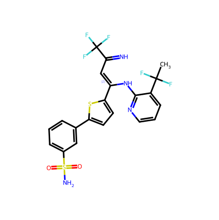 CC(F)(F)c1cccnc1N/C(=C\C(=N)C(F)(F)F)c1ccc(-c2cccc(S(N)(=O)=O)c2)s1